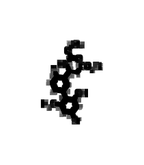 CCOC(=O)C[C@H](NC(=O)OC(C)(C)C)c1cc(-c2c(C)cc(Br)cc2O)ccc1F